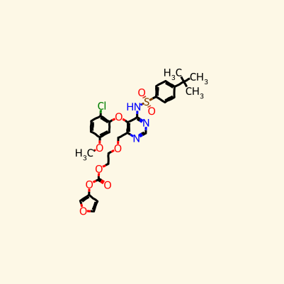 COc1ccc(Cl)c(Oc2c(COCCOC(=O)Oc3ccoc3)ncnc2NS(=O)(=O)c2ccc(C(C)(C)C)cc2)c1